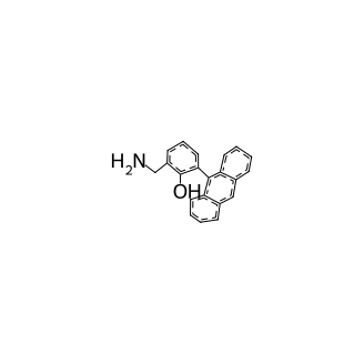 NCc1cccc(-c2c3ccccc3cc3ccccc23)c1O